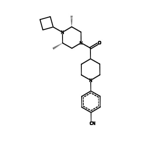 C[C@@H]1CN(C(=O)C2CCN(c3ccc(C#N)cc3)CC2)C[C@H](C)N1C1CCC1